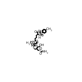 CO[C@@]1(NC(=O)CCCC(NS(=O)(=O)c2ccc(C)cc2)C(=O)O)C(=O)N2C(C(=O)O)=C(COC(N)=O)CS[C@H]21